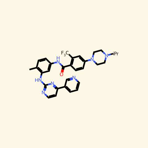 Cc1ccc(NC(=O)c2ccc(N3CCN(C(C)C)CC3)cc2C(F)(F)F)cc1Nc1nccc(-c2cccnc2)n1